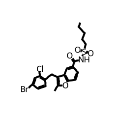 CCCCCS(=O)(=O)NC(=O)c1ccc2oc(C)c(Cc3ccc(Br)cc3Cl)c2c1